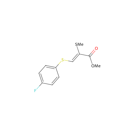 COC(=O)/C(=C/Sc1ccc(F)cc1)SC